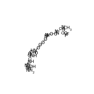 Cc1nc2ccc(-c3cnc(OCCOCCn4cc(COCCOCCOCCOCCNC(=O)CC[C@H](NC(=O)c5ccc(NCc6cnc7nc(N)nc(O)c7n6)cc5)C(=O)O)nn4)nc3)cc2n1Cc1ccccc1OC(F)F